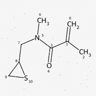 C=C(C)C(=O)N(C)CC1CS1